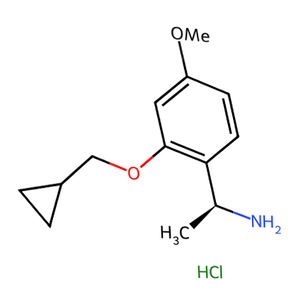 COc1ccc([C@H](C)N)c(OCC2CC2)c1.Cl